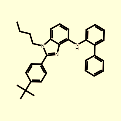 CCCCn1c(-c2ccc(C(C)(C)C)cc2)nc2c(Nc3ccccc3-c3ccccc3)cccc21